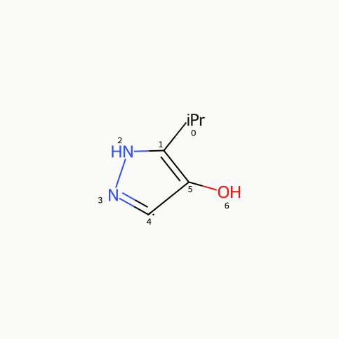 CC(C)c1[nH]n[c]c1O